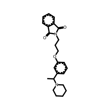 CC(c1cccc(OCCCN2C(=O)c3ccccc3C2=O)c1)N1CCCCC1